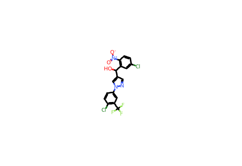 O=[N+]([O-])c1ccc(Cl)cc1C(O)c1cnn(-c2ccc(Cl)c(C(F)(F)F)c2)c1